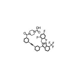 O=C(O)N1CCN(C(=O)c2cccc(C#Cc3cccc(-c4c5cccc(C(F)(F)F)c5nn4Cc4c(F)cc(F)cc4F)c3)c2)CC1